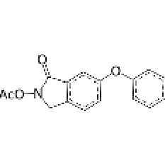 CC(=O)ON1Cc2ccc(Oc3ccccc3)cc2C1=O